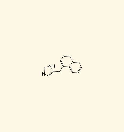 c1ccc2c(Cc3cnc[nH]3)cccc2c1